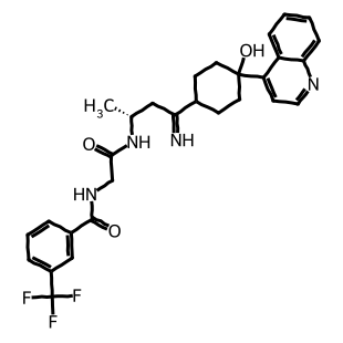 C[C@H](CC(=N)C1CCC(O)(c2ccnc3ccccc23)CC1)NC(=O)CNC(=O)c1cccc(C(F)(F)F)c1